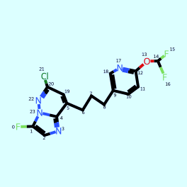 Fc1cnc2c(CCCc3ccc(OC(F)F)nc3)cc(Cl)nn12